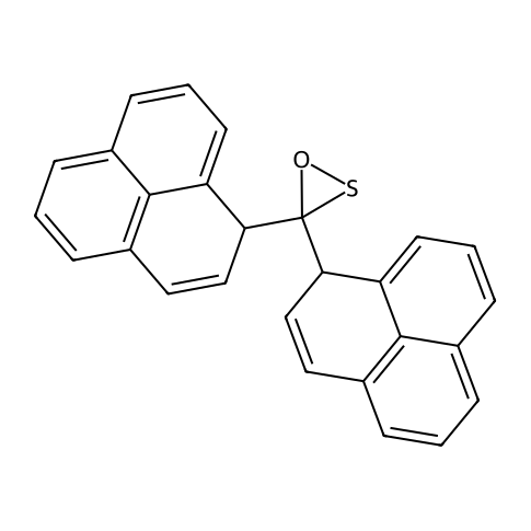 C1=CC(C2(C3C=Cc4cccc5cccc3c45)OS2)c2cccc3cccc1c23